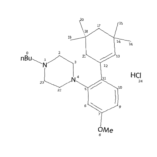 CCCCN1CCN(c2cc(OC)ccc2C2=CC(C)(C)CC(C)(C)C2)CC1.Cl